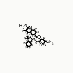 Cc1cc2cc(C(=O)N(Cc3ccc(C(F)(F)F)cn3)[C@H]3CC(C)(C)c4ccccc43)ccc2nc1N